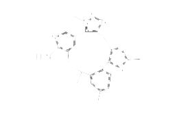 CCn1nnc2c1-c1cnc(N)c(c1)OC(C)c1cc(F)ccc1-c1nc(C)sc1C2